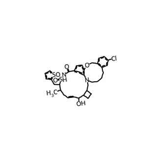 CC1C/C=C/C(O)C2CCC2CN2CCCCc3cc(Cl)ccc3COc3ccc(cc32)C(=O)NS(=O)(=O)C1Cc1cccs1